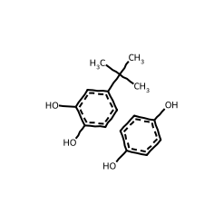 CC(C)(C)c1ccc(O)c(O)c1.Oc1ccc(O)cc1